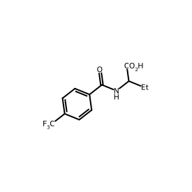 CCC(NC(=O)c1ccc(C(F)(F)F)cc1)C(=O)O